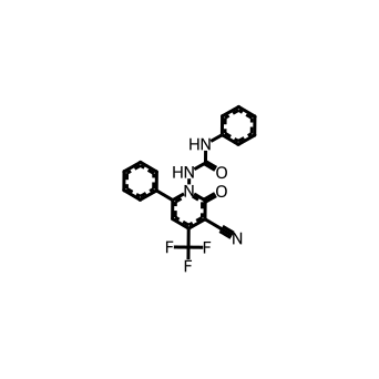 N#Cc1c(C(F)(F)F)cc(-c2ccccc2)n(NC(=O)Nc2ccccc2)c1=O